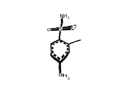 Bc1ccc(S(N)(=O)=O)c(C)c1